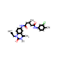 C#CCN1C(=O)N(CC)C(=C)c2cc(NC(=O)CC(C)CC(=O)Nc3ccc(C#N)c(Cl)c3)ccc21